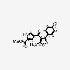 COC(=O)c1cc(C(=O)c2c(-c3ccc(Cl)cc3)noc2C)c[nH]1